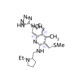 C=C(/C=c1/nc(NCC2CCCN2CC)/c(=C/SC)c(=C)/c1=C/C)c1nnn[nH]1